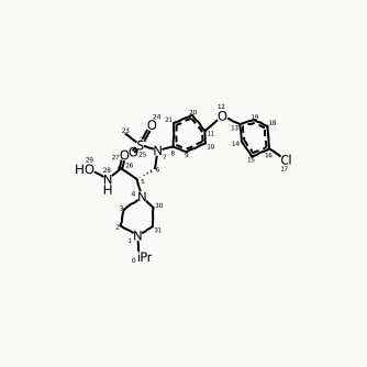 CC(C)N1CCN([C@@H](CN(c2ccc(Oc3ccc(Cl)cc3)cc2)S(C)(=O)=O)C(=O)NO)CC1